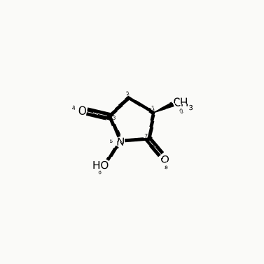 C[C@@H]1CC(=O)N(O)C1=O